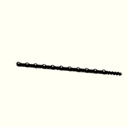 CCCCCCCCCCCCOCCCCCOCCCCCOCCCCCOCCCCCOCCCCCOCCCCCOCCCCCOCCCCCOCCCCCOCCCCCOC